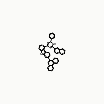 c1ccc(C2N=C(c3nccc4oc5cc(-c6cc7ccccc7c7ccccc67)ccc5c34)N=C(c3ccc4ccccc4c3)N2)cc1